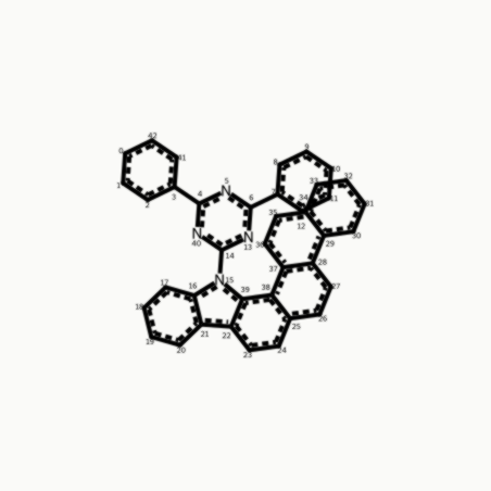 c1ccc(-c2nc(-c3ccccc3)nc(-n3c4ccccc4c4ccc5ccc6c7ccccc7ccc6c5c43)n2)cc1